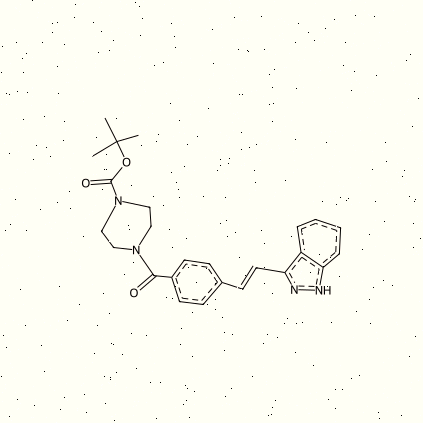 CC(C)(C)OC(=O)N1CCN(C(=O)c2ccc(C=Cc3n[nH]c4ccccc34)cc2)CC1